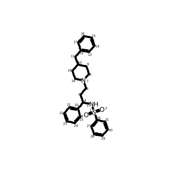 O=S(=O)(NC(CCN1CCC(Cc2ccccc2)CC1)c1ccccc1)c1ccccc1